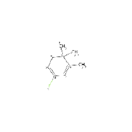 CC1=CC(F)=CCC1(C)C